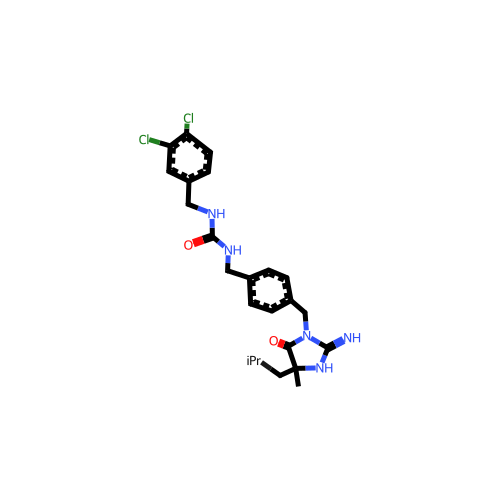 CC(C)CC1(C)NC(=N)N(Cc2ccc(CNC(=O)NCc3ccc(Cl)c(Cl)c3)cc2)C1=O